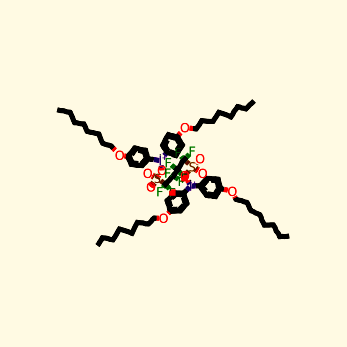 CCCCCCCCOc1ccc([I+](OS(=O)(=O)C(F)(F)C(F)(F)C(F)(F)C(F)(F)S(=O)(=O)O[I+](c2ccc(OCCCCCCCC)cc2)c2ccc(OCCCCCCCC)cc2)c2ccc(OCCCCCCCC)cc2)cc1